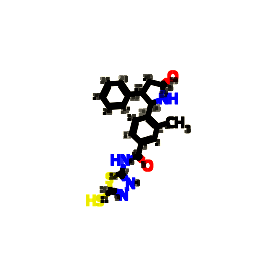 Cc1cc(C(=O)Nc2nnc(S)s2)ccc1C1NC(=O)CC1c1ccccc1